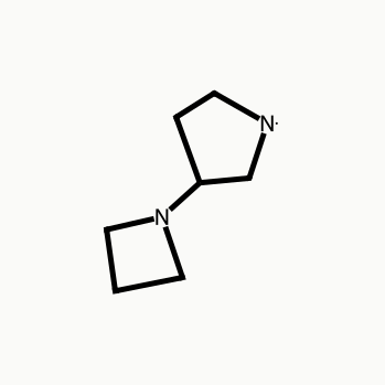 C1CN(C2CC[N]C2)C1